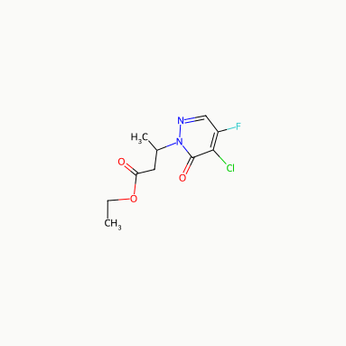 CCOC(=O)CC(C)n1ncc(F)c(Cl)c1=O